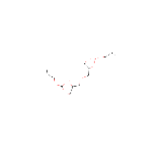 CCCOC1OCC(COCC2COC(OCCC)O2)O1